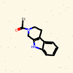 CCC(=O)N1CCc2c([nH]c3ccccc23)C1